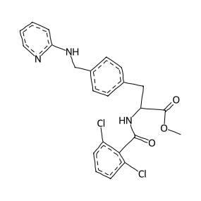 COC(=O)C(Cc1ccc(CNc2ccccn2)cc1)NC(=O)c1c(Cl)cccc1Cl